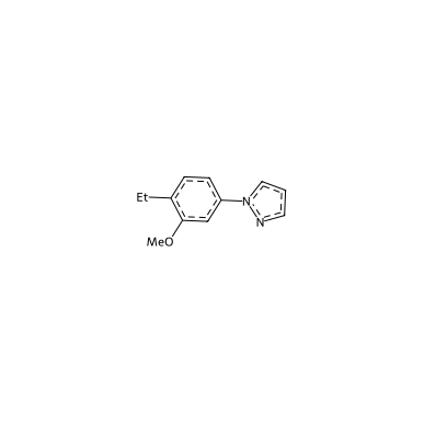 CCc1ccc(-n2cccn2)cc1OC